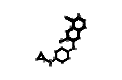 O=c1[nH]ccc2cc(O[C@H]3CC[C@@H](NC4CC4)CC3)c(Cl)cc12